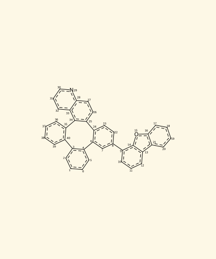 c1ccc2c(c1)-c1cc(-c3cccc4c3oc3ccccc34)ccc1-c1ccc3ncccc3c1-c1ccccc1-2